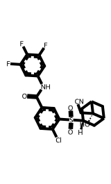 N#CC[C@]1(O)C2CC1C[C@@H](S(=O)(=O)c1cc(C(=O)Nc3cc(F)c(F)c(F)c3)ccc1Cl)C2